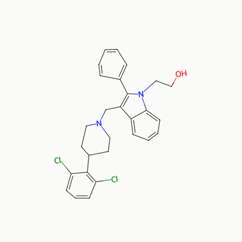 OCCn1c(-c2ccccc2)c(CN2CCC(c3c(Cl)cccc3Cl)CC2)c2ccccc21